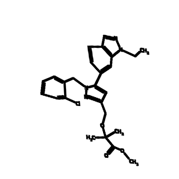 CCn1ncc2ccc(-c3cc(COC(C)(C)C(=O)OC)nn3Cc3ccccc3Cl)cc21